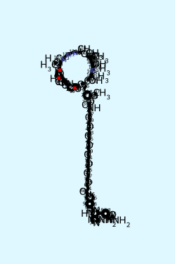 CO[C@H]1C[C@@H]2CC[C@@H](C)[C@@](O)(O2)C(=O)C(=O)N2CCCC[C@H]2C(=O)O[C@H](CC[C@@H]2CC[C@@H](OC(=O)NCCOCCOCCOCCOCCOCCOCCOCCOCCC(=O)N3CCc4cc(CNc5ncnc(N)c5C(=N)c5ccc6oc(N)nc6c5)ccc4C3)[C@H](OC)C2)C[C@@H](O)[C@H](C)/C=C(\C)[C@@H](O)[C@@H](OC)C(=O)[C@H](C)C[C@H](C)/C=C/C=C/C=C/1C